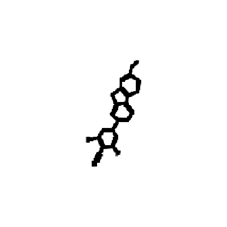 CCc1ccc2c(c1)Cc1cc(-c3cc(F)c(C#N)c(F)c3)ccc1-2